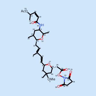 COC1(C)CC(/C=C/C(C)=C/C[C@@H]2OC(C)C(NC(=O)/C=C\C(C)OC(C)=O)CC2C)O[C@H](CC(=O)ON2C(=O)CCC2=O)C1